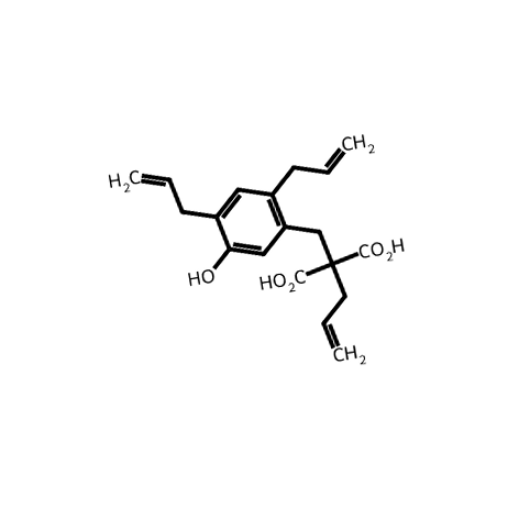 C=CCc1cc(CC=C)c(CC(CC=C)(C(=O)O)C(=O)O)cc1O